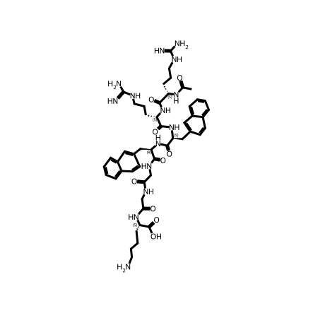 CC(=O)N[C@@H](CCCNC(=N)N)C(=O)N[C@@H](CCCNC(=N)N)C(=O)N[C@@H](Cc1ccc2ccccc2c1)C(=O)N[C@H](Cc1ccc2ccccc2c1)C(=O)NCC(=O)NCC(=O)N[C@@H](CCCCN)C(=O)O